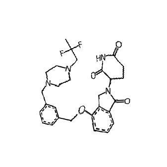 CC(F)(F)CN1CCN(Cc2cccc(COc3cccc4c3CN(C3CCC(=O)NC3=O)C4=O)c2)CC1